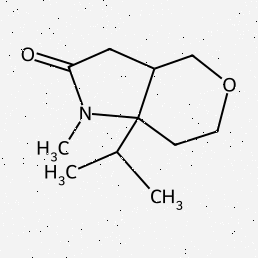 CC(C)C12CCOCC1CC(=O)N2C